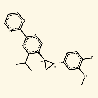 COc1cc([C@@H]2C[C@H]2c2cnc(-c3ncccn3)nc2C(C)C)ccc1F